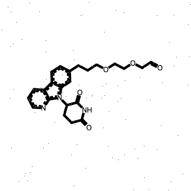 O=CCOCCOCCCc1ccc2c3cccnc3n(C3CCC(=O)NC3=O)c2c1